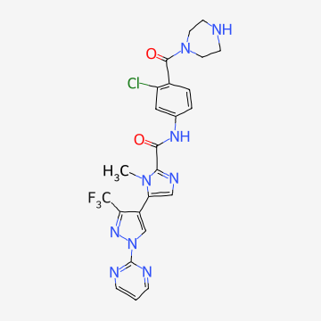 Cn1c(-c2cn(-c3ncccn3)nc2C(F)(F)F)cnc1C(=O)Nc1ccc(C(=O)N2CCNCC2)c(Cl)c1